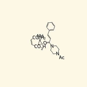 CC(=O)N1CCN(C(=O)C=Cc2ccccc2)CC1.NC1CC1.O=C(O)/C=C\C(=O)O